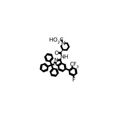 O=C(Nc1nn(C(c2ccccc2)(c2ccccc2)c2ccccc2)c2ccc(-c3cc(F)ccc3C(F)(F)F)cc12)[C@@H]1CCCN(C(=O)O)C1